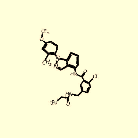 Cc1cc(OC(F)(F)F)ccc1-n1ncc2c(NC(=O)c3cc(CNC(=O)CC(C)(C)C)ccc3Cl)cccc21